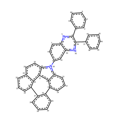 c1ccc(-c2nc3ccc(-n4c5cccc6c5c5c7c(cccc7ccc54)-c4ccccc4-6)cc3nc2-c2ccccc2)cc1